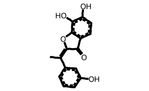 C/C(=C1\Oc2c(ccc(O)c2O)C1=O)c1cccc(O)c1